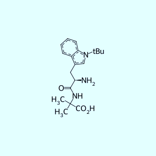 CC(C)(NC(=O)[C@H](N)Cc1cn(C(C)(C)C)c2ccccc12)C(=O)O